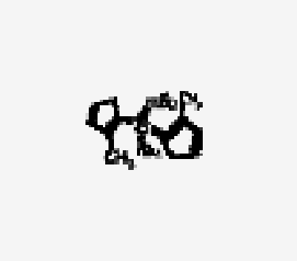 CCC[CH2][Zr]([CH2]CCC)([C]1=C(C)C=CC1)[C]1=C(C)C=CC1